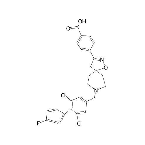 O=C(O)c1ccc(C2=NOC3(CCN(Cc4cc(Cl)c(-c5ccc(F)cc5)c(Cl)c4)CC3)C2)cc1